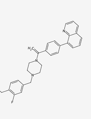 C=C(c1ccc(-c2cccc3cccnc23)cc1)N1CCN(Cc2ccc(CC)c(F)c2)CC1